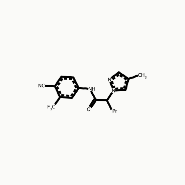 Cc1cnn(C(C(=O)Nc2ccc(C#N)c(C(F)(F)F)c2)C(C)C)c1